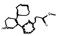 COC(=O)Cc1cccc(C2=C(C3CCCCC3)CCNC2)c1